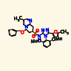 COc1cccc(OC)c1-n1c(NS(=O)(=O)[C@@H](CCOCc2ccccc2)Cc2ncc(C)cn2)nnc1-c1ccc(C)o1